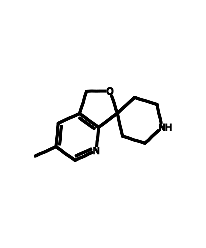 Cc1cnc2c(c1)COC21CCNCC1